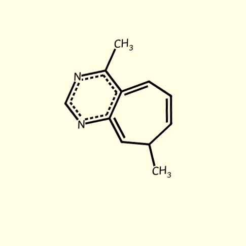 Cc1ncnc2c1=CC=CC(C)C=2